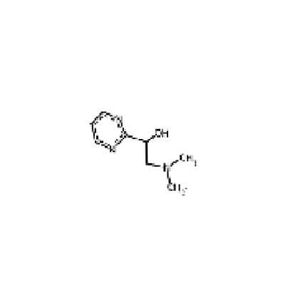 [CH2]N(C)CC(O)c1ncccn1